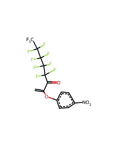 C=C(Oc1ccc([N+](=O)[O-])cc1)C(=O)C(F)(F)C(F)(F)C(F)(F)C(F)(F)C(F)(F)F